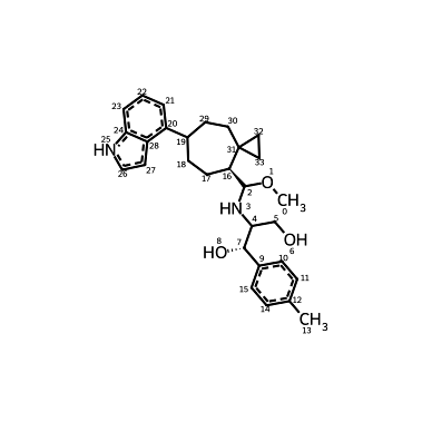 COC(NC(CO)[C@@H](O)c1ccc(C)cc1)[C@H]1CCC(c2cccc3[nH]ccc23)CCC12CC2